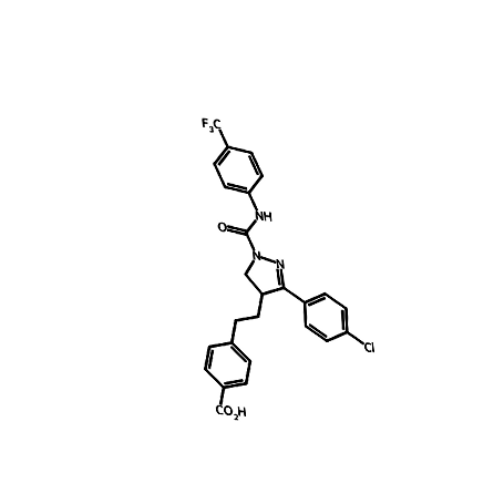 O=C(O)c1ccc(CCC2CN(C(=O)Nc3ccc(C(F)(F)F)cc3)N=C2c2ccc(Cl)cc2)cc1